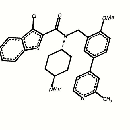 CN[C@H]1CC[C@H](N(Cc2cc(-c3ccnc(C)c3)ccc2OC)C(=O)c2sc3ccccc3c2Cl)CC1